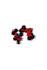 CC(C)(C)c1cc(-c2cccc3cccc(-c4ccccc4N(c4ccc(-c5cccc6oc7ccccc7c56)cc4)c4cccc(-c5cccc6cc(CC(C)(C)c7cc(-c8cccc9cccc(-c%10ccccc%10N(c%10ccc(-c%11cccc%12ccccc%11%12)cc%10)c%10ccc(-c%11cccc%12oc%13ccccc%13c%11%12)cc%10)c89)cc(C(C)(C)C)c7)ccc56)c4)c23)cc(C(C)(C)C)c1